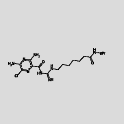 CCCNC(=O)CCCCCCNC(=N)NC(=O)c1nc(Cl)c(N)nc1N